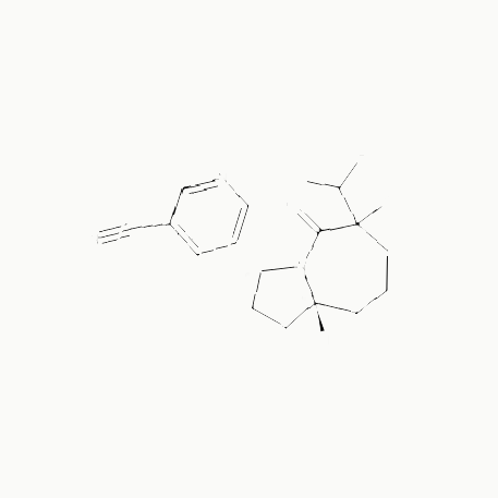 CC1(C(F)F)CCC[C@@H]2CC[C@H](c3cncc(C#N)c3)N2C1=O